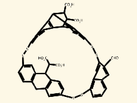 O=Cc1cc2cccc3c2cc1SSc1ccc2c(c1)C1c4ccc(cc4C2C(C(=O)O)C1C(=O)O)SSc1ccc2c(c1)C(C(C(=O)O)C(=O)O)c1ccc(cc1C2)SS3